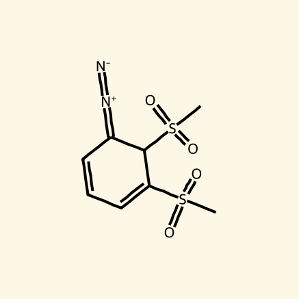 CS(=O)(=O)C1=CC=CC(=[N+]=[N-])C1S(C)(=O)=O